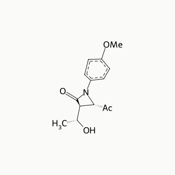 COc1ccc(N2C(=O)[C@H]([C@@H](C)O)[C@H]2C(C)=O)cc1